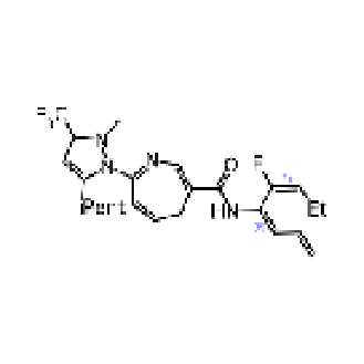 C=C/C=C(NC(=O)C1=CN=C(N2C(C(C)CCC)=CC(C(F)(F)F)N2C)C=CC1)\C(F)=C/CC